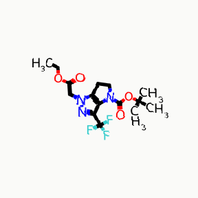 CCOC(=O)Cn1nc(C(F)(F)F)c2c1CCN2C(=O)OC(C)(C)C